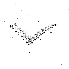 O.O.O.O.O.O.O.O.O.O.O.O.O.[KH]